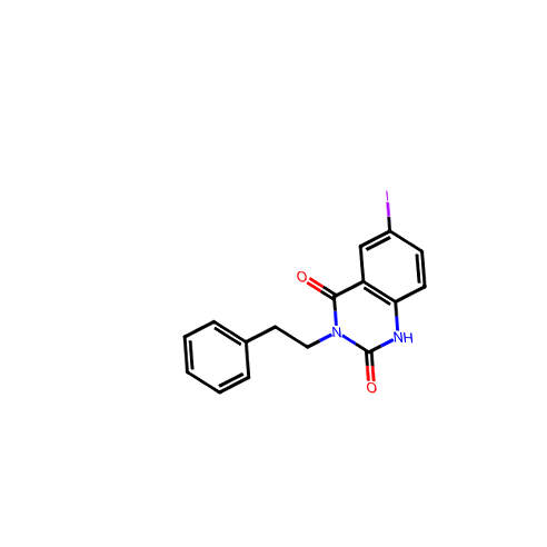 O=c1[nH]c2ccc(I)cc2c(=O)n1CCc1ccccc1